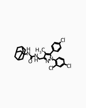 Cc1c(CNC(=O)NC23CC4CC(CC(C4)C2)C3)nn(-c2ccc(Cl)cc2Cl)c1-c1ccc(Cl)cc1